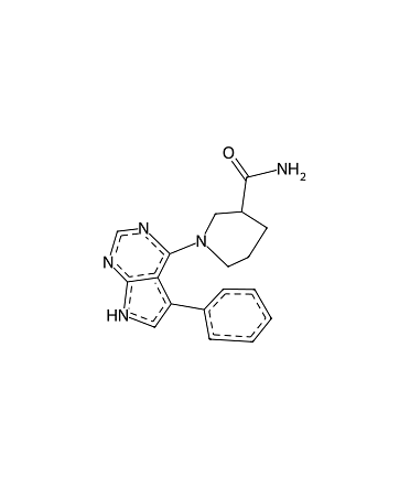 NC(=O)C1CCCN(c2ncnc3[nH]cc(-c4ccccc4)c23)C1